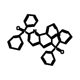 O=P(c1ccccc1)(c1ccccc1)c1ccc2cc(P(=O)(c3ccccc3)c3ccccc3)c3ncccc3c2n1